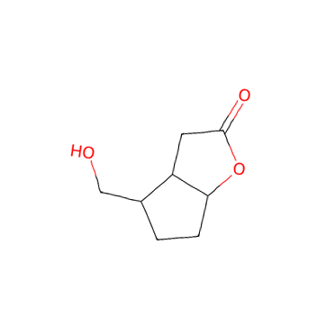 O=C1CC2C(CO)CCC2O1